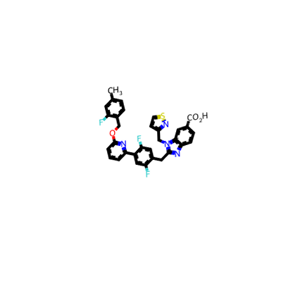 Cc1ccc(COc2cccc(-c3cc(F)c(Cc4nc5ccc(C(=O)O)cc5n4Cc4ccsn4)cc3F)n2)c(F)c1